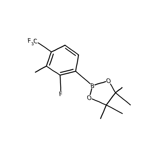 Cc1c(C(F)(F)F)ccc(B2OC(C)(C)C(C)(C)O2)c1F